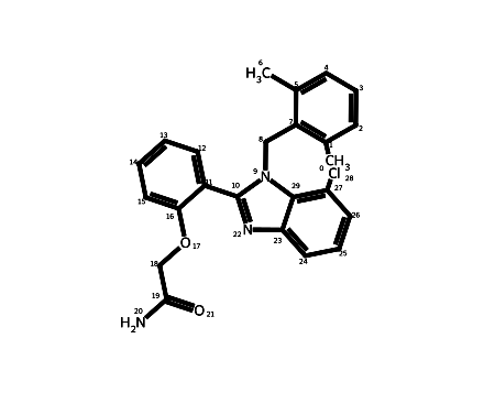 Cc1cccc(C)c1Cn1c(-c2ccccc2OCC(N)=O)nc2cccc(Cl)c21